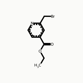 CCOC(=O)c1ccnc(CBr)c1